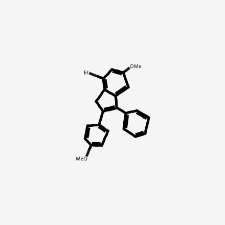 CCc1cc(OC)cc2c1CC(c1ccc(OC)cc1)=C2c1ccccc1